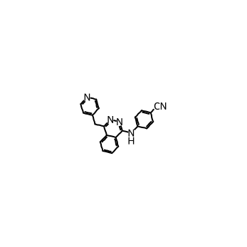 N#Cc1ccc(Nc2nnc(Cc3ccncc3)c3ccccc23)cc1